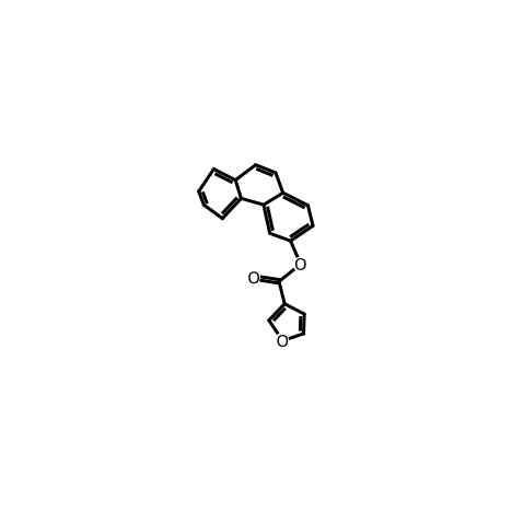 O=C(Oc1ccc2ccc3ccccc3c2c1)c1ccoc1